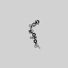 CCOc1ccc(-c2nc3ccc(-c4nnc(SCC(=O)N5CCN(c6ncccn6)CC5)o4)cc3[nH]2)cc1